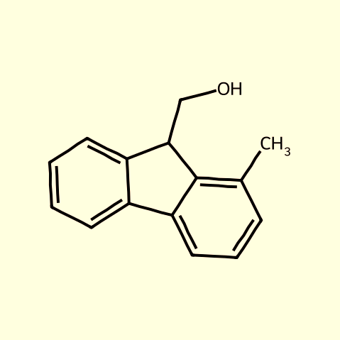 Cc1cccc2c1C(CO)c1ccccc1-2